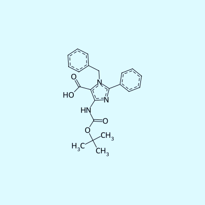 CC(C)(C)OC(=O)Nc1nc(-c2ccccc2)n(Cc2ccccc2)c1C(=O)O